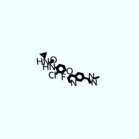 Cc1nc(-c2ccc3c(Oc4ccc(NC(=O)NC5CC5)c(Cl)c4F)ccnc3c2)cn1C